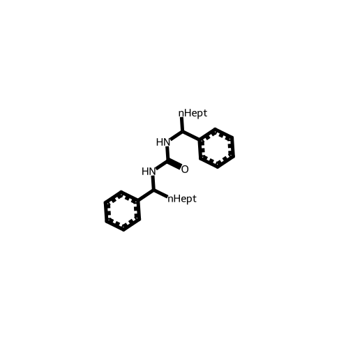 CCCCCCCC(NC(=O)NC(CCCCCCC)c1ccccc1)c1ccccc1